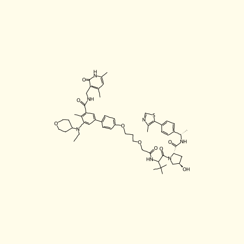 CCN(c1cc(-c2ccc(OCCCOCC(=O)NC(C(=O)N3C[C@H](O)C[C@H]3C(=O)N[C@@H](C)c3ccc(-c4scnc4C)cc3)C(C)(C)C)cc2)cc(C(=O)NCc2c(C)cc(C)[nH]c2=O)c1C)C1CCOCC1